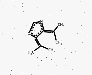 CC(C)=c1ncoc1=C(C)C